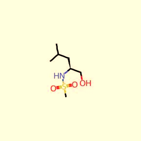 CC(C)C[C@@H](CO)NS(C)(=O)=O